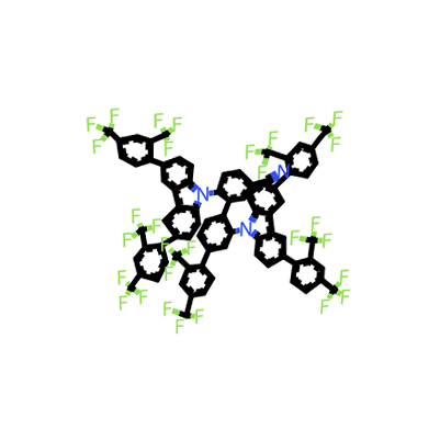 N#Cc1ccc(-n2c3ccc(-c4ccc(C(F)(F)F)cc4C(F)(F)F)cc3c3cc(-c4ccc(C(F)(F)F)cc4C(F)(F)F)ccc32)c(-c2ccc(-c3ccc(C(F)(F)F)cc3C(F)(F)F)cc2-n2c3ccc(-c4ccc(C(F)(F)F)cc4C(F)(F)F)cc3c3cc(-c4ccc(C(F)(F)F)cc4C(F)(F)F)ccc32)c1